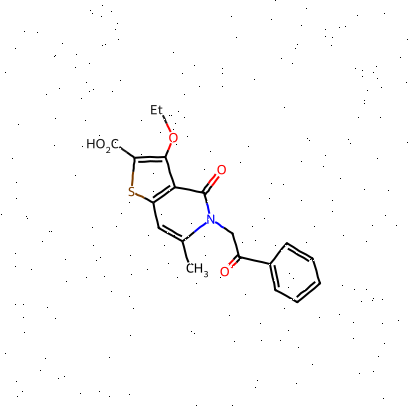 CCOc1c(C(=O)O)sc2cc(C)n(CC(=O)c3ccccc3)c(=O)c12